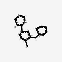 Cc1ccc(-c2ncncn2)cc1Cc1ccccc1